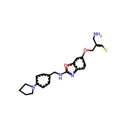 NC/C(=C/F)COc1ccc2nc(NCc3ccc(N4CCCC4)cc3)oc2c1